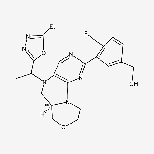 CCc1nnc(C(C)N2C[C@@H]3COCCN3c3nc(-c4cc(CO)ccc4F)ncc32)o1